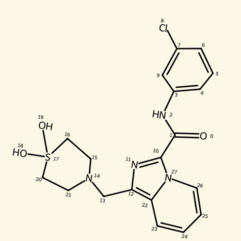 O=C(Nc1cccc(Cl)c1)c1nc(CN2CCS(O)(O)CC2)c2ccccn12